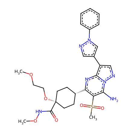 COCCO[C@]1(C(=O)NOC)CC[C@H](c2nc3c(-c4cnn(-c5ccccc5)c4)cnn3c(N)c2S(C)(=O)=O)CC1